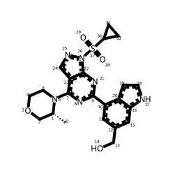 C[C@@H]1COCCN1c1nc(-c2cc(CO)cc3[nH]ccc23)nc2c1cnn2S(=O)(=O)C1CC1